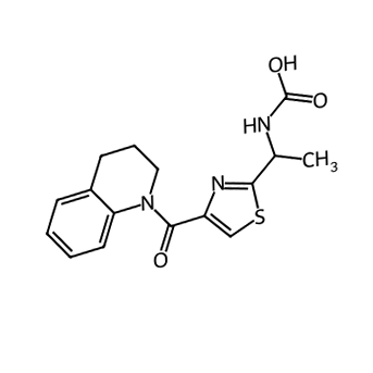 CC(NC(=O)O)c1nc(C(=O)N2CCCc3ccccc32)cs1